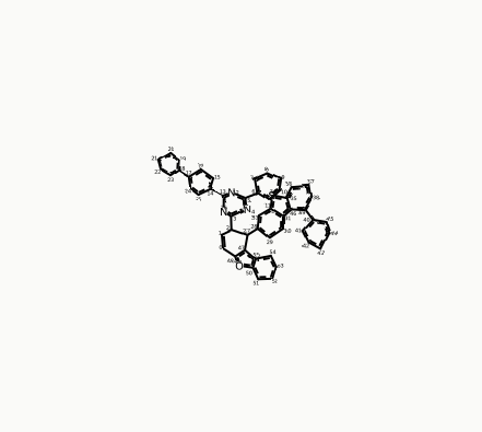 C1=CC(c2nc(-c3ccccc3)nc(-c3ccc(-c4ccccc4)cc3)n2)C(c2ccc3c(c2)sc2cccc(-c4ccccc4)c23)c2c1oc1ccccc21